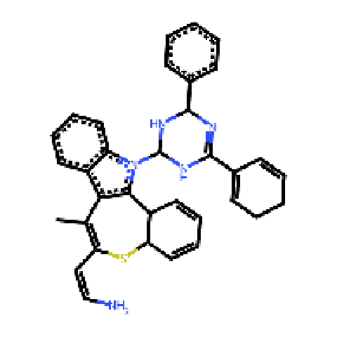 CC1=C(/C=C\N)SC2C=CC=CC2c2c1c1ccccc1n2C1NC(C2=CCCC=C2)=NC(c2ccccc2)N1